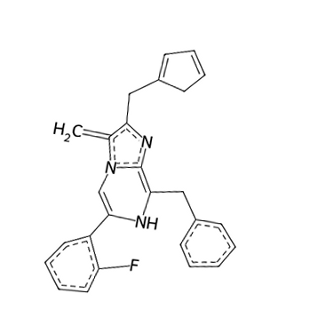 C=c1c(CC2=CC=CC2)nc2n1C=C(c1ccccc1F)NC=2Cc1ccccc1